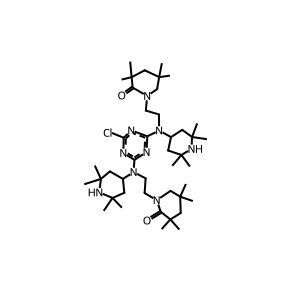 CC1(C)CN(CCN(c2nc(Cl)nc(N(CCN3CC(C)(C)CC(C)(C)C3=O)C3CC(C)(C)NC(C)(C)C3)n2)C2CC(C)(C)NC(C)(C)C2)C(=O)C(C)(C)C1